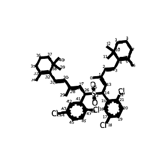 CC(C=CC1=C(C)CCCC1(C)C)=CC(c1cc(Cl)ccc1Cl)S(=O)(=O)C(C=C(C)C=CC1=C(C)CCCC1(C)C)c1cc(Cl)ccc1Cl